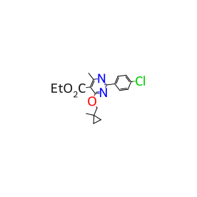 CCOC(=O)c1c(C)nc(-c2ccc(Cl)cc2)nc1OCC1(C)CC1